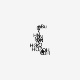 CCCCOCCCNc1ncnc2c1ncn2[C@@H]1OC(COP(=O)(O)O)[C@@H](O)[C@H]1O